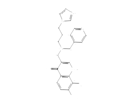 Cc1ccc2c(=O)c(CN(CCCn3ccnc3)Cc3ccncc3)coc2c1C